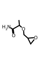 CC(OCC1CO1)C(N)=O